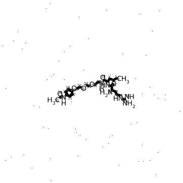 CCCCC(NC(=O)[C@@H](N)CCCNC(=N)N)C(=O)NCCOCCOCCOc1ccc(NC(C)=O)cc1